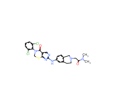 CN(C)C(=O)CN1CCc2cc(Nc3ncc4c(n3)SCN(c3c(Cl)cccc3Cl)C4=O)ccc2C1